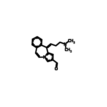 CN(C)CCC=C1c2ccccc2C=Cn2cc(C=O)cc21